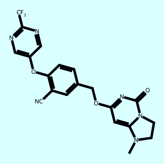 CN1CCn2c1cc(OCc1ccc(Oc3cnc(C(F)(F)F)nc3)c(C#N)c1)nc2=O